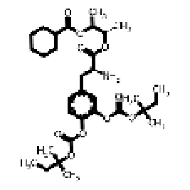 CCC(C)(C)OC(=O)Oc1ccc(C[C@H](N)C(=O)O[C@@H](C)C(C)OC(=O)C2CCCCC2)cc1OC(=O)OC(C)(C)CC